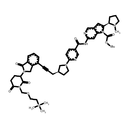 CN1CCC[C@@H]1c1cc2cnc(NC(=O)c3ccc(N4CC[C@@H](CC#Cc5cccc6c5CN(C5CCC(=O)N(COCC[Si](C)(C)C)C5=O)C6=O)C4)nc3)cc2n1C(=O)OC(C)(C)C